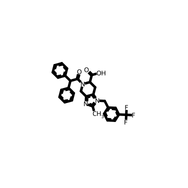 Cc1nc2c(n1Cc1cccc(C(F)(F)F)c1)CC(C(=O)O)N(C(=O)C(c1ccccc1)c1ccccc1)C2